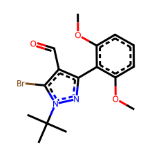 COc1cccc(OC)c1-c1nn(C(C)(C)C)c(Br)c1C=O